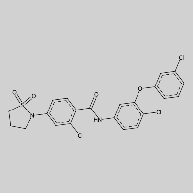 O=C(Nc1ccc(Cl)c(Oc2cccc(Cl)c2)c1)c1ccc(N2CCCS2(=O)=O)cc1Cl